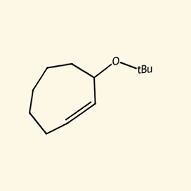 CC(C)(C)OC1C=CCCCCC1